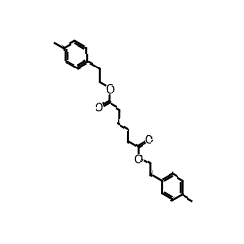 Cc1ccc(CCOC(=O)CCCCC(=O)OCCc2ccc(C)cc2)cc1